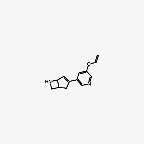 C=COc1cncc(C2=CC3NCC3C2)c1